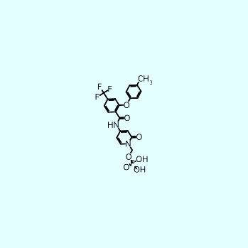 Cc1ccc(Oc2cc(C(F)(F)F)ccc2C(=O)Nc2ccn(COP(=O)(O)O)c(=O)c2)cc1